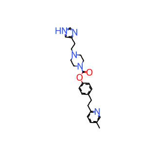 Cc1ccc(CCc2ccc(OC(=O)N3CCN(CCc4c[nH]cn4)CC3)cc2)nc1